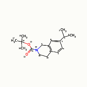 CC(C)c1ccc2c(c1)CN(C(=O)OC(C)(C)C)CC2